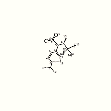 CC(C)c1ccc([C@@H](C(=O)Cl)[C@@H](C)C(F)(F)F)cc1